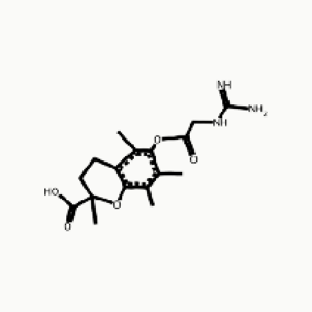 Cc1c(C)c2c(c(C)c1OC(=O)CNC(=N)N)CCC(C)(C(=O)O)O2